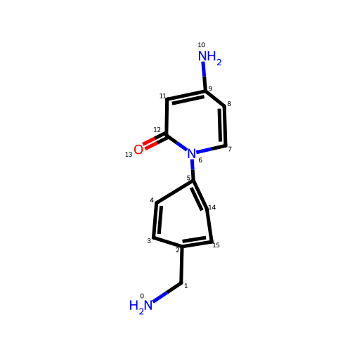 NCc1ccc(-n2ccc(N)cc2=O)cc1